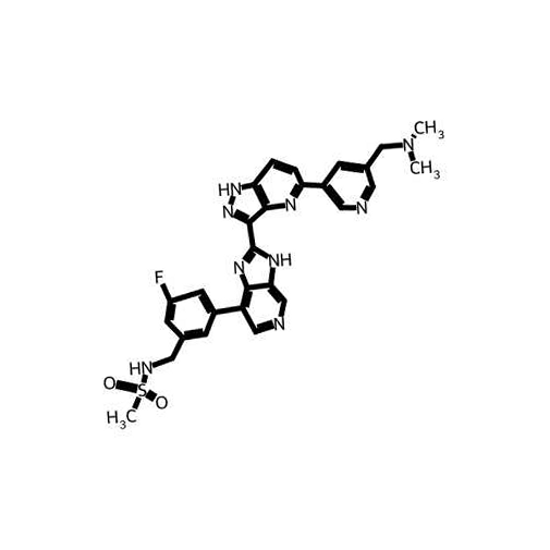 CN(C)Cc1cncc(-c2ccc3[nH]nc(-c4nc5c(-c6cc(F)cc(CNS(C)(=O)=O)c6)cncc5[nH]4)c3n2)c1